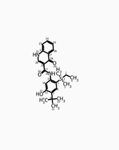 CC[Si](C)(C)c1cc(C(C)(C)C)c(O)cc1NC(=O)c1c[nH]c2ccccc2c1=O